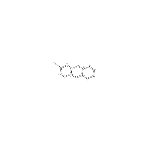 Fc1ccc2cc3ccccc3[c]c2c1